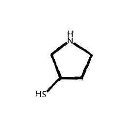 SC1[CH]CNC1